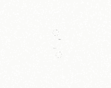 O=C(CCC(=O)c1ccc2c(c1)OCO2)c1ccc(F)cc1